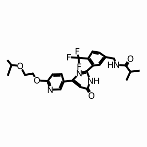 CC(C)OCCOc1ccc(-c2cc(=O)[nH]c(-c3cc(CNC(=O)C(C)C)ccc3C(F)(F)F)n2)cn1